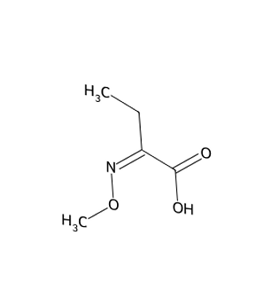 CCC(=NOC)C(=O)O